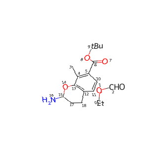 CCOC=O.Cc1c(C(=O)OC(C)(C)C)ccc2c1OC(N)CC2